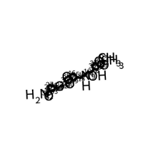 CC1(C)OCc2cc([C@H](O)CNCCc3ccc4c(c3)O[C@H](COCc3cccc(C(N)=O)c3)CO4)ccc2O1